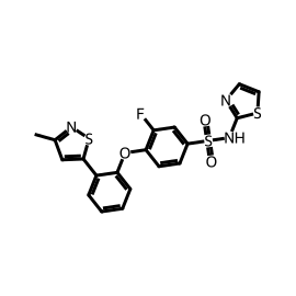 Cc1cc(-c2ccccc2Oc2ccc(S(=O)(=O)Nc3nccs3)cc2F)sn1